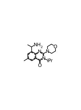 Cc1cc(C(C)N)c2nc(N3CCOCC3)n(C(C)C)c(=O)c2c1